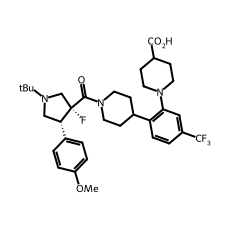 COc1ccc([C@@H]2CN(C(C)(C)C)C[C@@]2(F)C(=O)N2CCC(c3ccc(C(F)(F)F)cc3N3CCC(C(=O)O)CC3)CC2)cc1